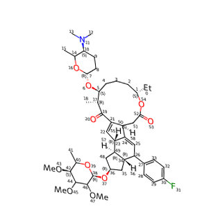 CC[C@H]1CCC[C@H](O[C@H]2CC[C@H](N(C)C)C(C)O2)[C@@H](C)C(=O)C2=C[C@@H]3C(=CC(c4ccc(F)cc4)[C@@H]4C[C@@H](O[C@@H]5OC(C)[C@H](OC)C(OC)C5OC)C[C@@H]34)[C@@H]2CC(=O)O1